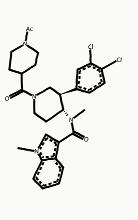 CC(=O)N1CCC(C(=O)N2CC[C@@H](N(C)C(=O)c3cn(C)c4ccccc34)[C@H](c3ccc(Cl)c(Cl)c3)C2)CC1